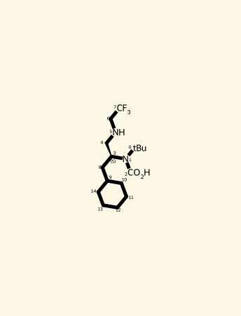 CC(C)(C)N(C(=O)O)[C@H](CNCC(F)(F)F)CC1CCCCC1